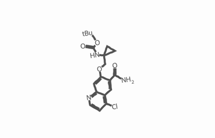 CC(C)(C)OC(=O)NC1(COc2cc3nccc(Cl)c3cc2C(N)=O)CC1